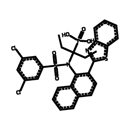 CCC(CC)(N(c1c(-c2nc3ccccc3s2)ccc2ccccc12)S(=O)(=O)c1cc(Cl)cc(Cl)c1)P(=O)(O)O